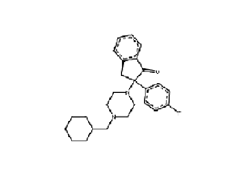 O=C1c2ccccc2CC1(c1ccc(F)cc1)N1CCN(CC2CCCCC2)CC1